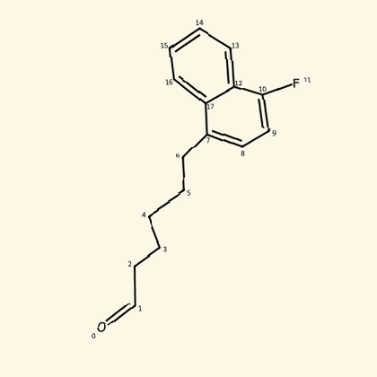 O=CCCCCCc1ccc(F)c2ccccc12